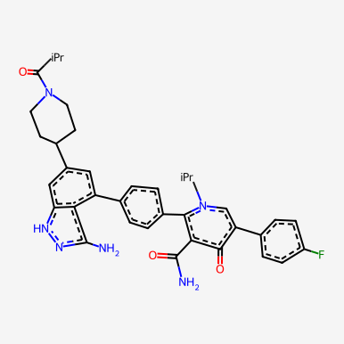 CC(C)C(=O)N1CCC(c2cc(-c3ccc(-c4c(C(N)=O)c(=O)c(-c5ccc(F)cc5)cn4C(C)C)cc3)c3c(N)n[nH]c3c2)CC1